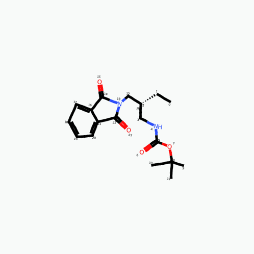 CC[C@H](CNC(=O)OC(C)(C)C)CN1C(=O)c2ccccc2C1=O